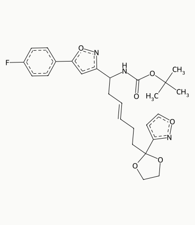 CC(C)(C)OC(=O)NC(C/C=C/CCC1(c2ccon2)OCCO1)c1cc(-c2ccc(F)cc2)on1